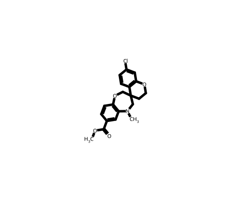 COC(=O)c1ccc2c(c1)N(C)CC1(CCOc3cc(Cl)ccc31)CO2